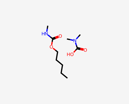 CCCCCOC(=O)NC.CN(C)C(=O)O